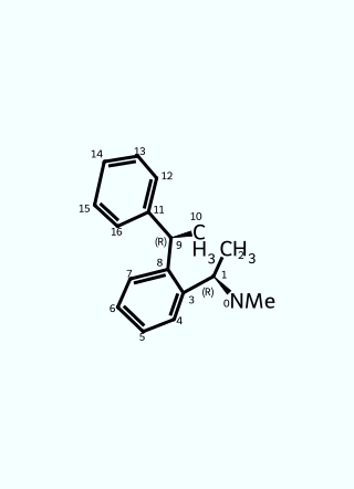 CN[C@H](C)c1ccccc1[C@H](C)c1ccccc1